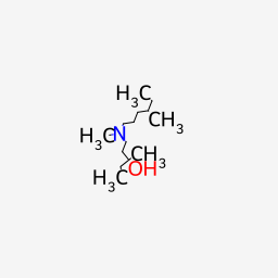 CCC(C)CCCN(C)CCC(C)(O)CC